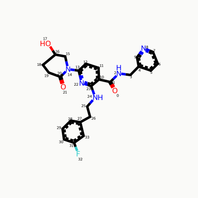 O=C(NCc1cccnc1)c1ccc(N2CC(O)CCC2=O)nc1NCCc1cccc(F)c1